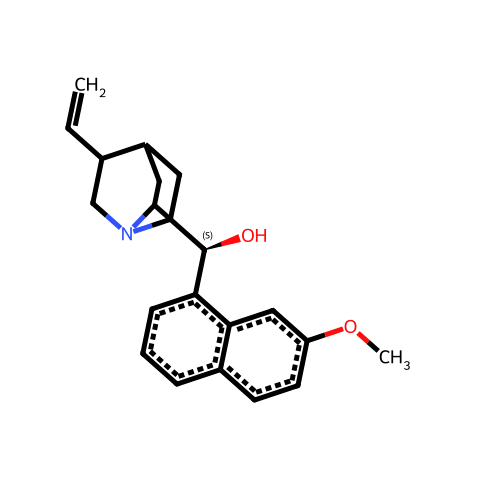 C=CC1CN2CCC1CC2[C@@H](O)c1cccc2ccc(OC)cc12